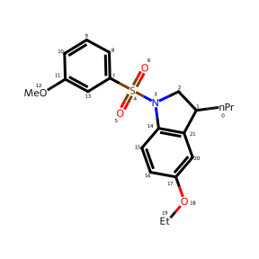 CCCC1CN(S(=O)(=O)c2cccc(OC)c2)c2ccc(OCC)cc21